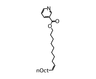 CCCCCCCC/C=C\CCCCCCCCOC(=O)c1cccnc1